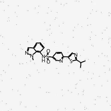 CC(C)c1ncc(-c2ccc(S(=O)(=O)Nc3cccc4cnn(C)c34)cn2)s1